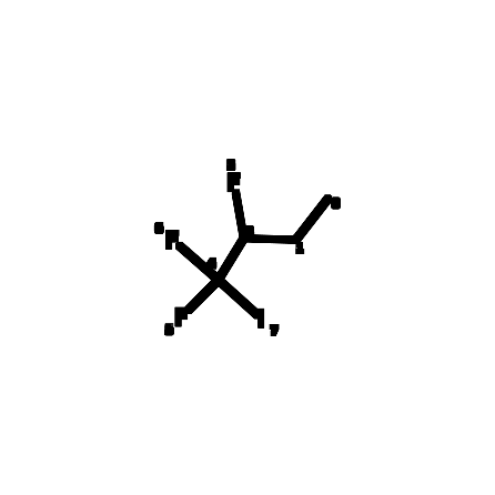 CCC(F)C(F)(F)I